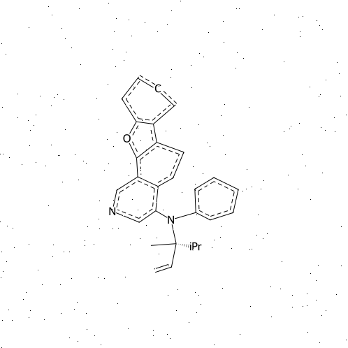 C=C[C@](C)(C(C)C)N(c1ccccc1)c1cncc2c1ccc1c3ccccc3oc21